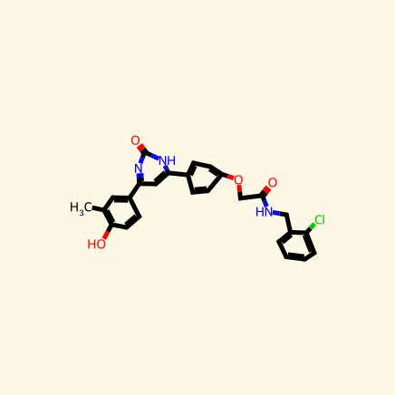 Cc1cc(-c2cc(-c3ccc(OCC(=O)NCc4ccccc4Cl)cc3)[nH]c(=O)n2)ccc1O